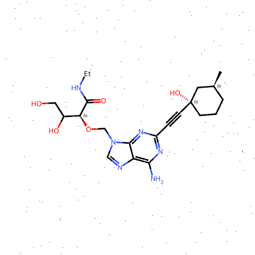 CCNC(=O)[C@@H](OCn1cnc2c(N)nc(C#C[C@]3(O)CCC[C@H](C)C3)nc21)C(O)CO